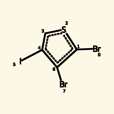 Brc1scc(I)c1Br